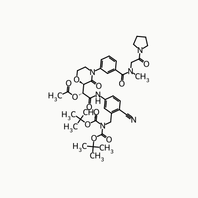 CC(=O)O[C@@H](C(=O)Nc1ccc(C#N)c(CN(C(=O)OC(C)(C)C)C(=O)OC(C)(C)C)c1)[C@H]1OCCN(c2cccc(C(=O)N(C)CC(=O)N3CCCC3)c2)C1=O